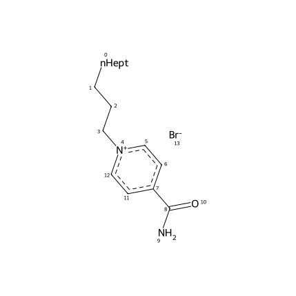 CCCCCCCCCC[n+]1ccc(C(N)=O)cc1.[Br-]